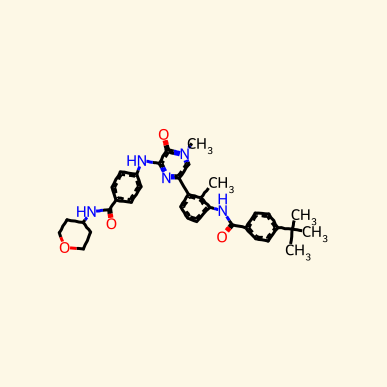 Cc1c(NC(=O)c2ccc(C(C)(C)C)cc2)cccc1-c1cn(C)c(=O)c(Nc2ccc(C(=O)NC3CCOCC3)cc2)n1